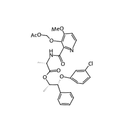 COc1ccnc(C(=O)N[C@@H](C)C(=O)O[C@@H](C)[C@H](Oc2cccc(Cl)c2)c2ccccc2)c1OCOC(C)=O